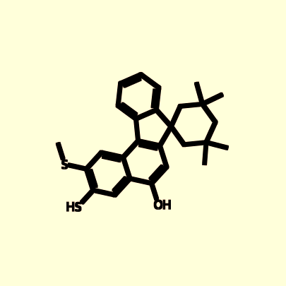 CSc1cc2c3c(cc(O)c2cc1S)C1(CC(C)(C)CC(C)(C)C1)c1ccccc1-3